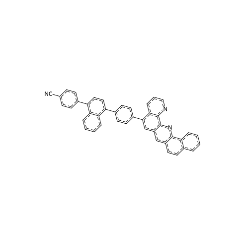 N#Cc1ccc(-c2ccc(-c3ccc(-c4cc5cc6ccc7ccccc7c6nc5c5ncccc45)cc3)c3ccccc23)cc1